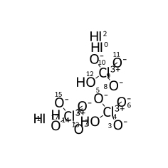 I.I.I.[O-][Cl+3]([O-])([O-])O.[O-][Cl+3]([O-])([O-])O.[O-][Cl+3]([O-])([O-])O